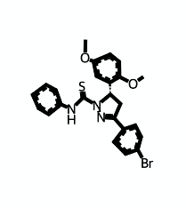 COc1ccc(OC)c([C@@H]2CC(c3ccc(Br)cc3)=NN2C(=S)Nc2ccccc2)c1